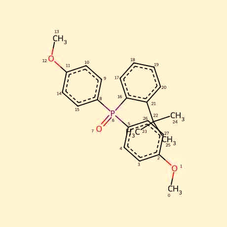 COc1ccc(P(=O)(c2ccc(OC)cc2)c2ccccc2C(C)(C)C)cc1